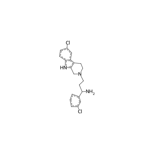 NC(CCN1CCc2c([nH]c3ccc(Cl)cc23)C1)c1cccc(Cl)c1